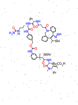 CN[C@H](C(=O)NC(C(=O)N(C)[C@H](/C=C(\C)C(=O)O)C(C)C)C(C)(C)C)C(C)(C)c1cccc(NC(=O)OCc2ccc(NC(=O)[C@H](CCCNC(N)=O)NC(=O)[C@@H](NC(=O)CCC(=O)N3Cc4ccccc4/C(C(C)C(C)(C)C)=C(/N=N)c4ccccc43)C(C)C)cc2)c1